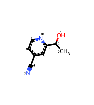 CC(O)c1cc(C#N)ccn1